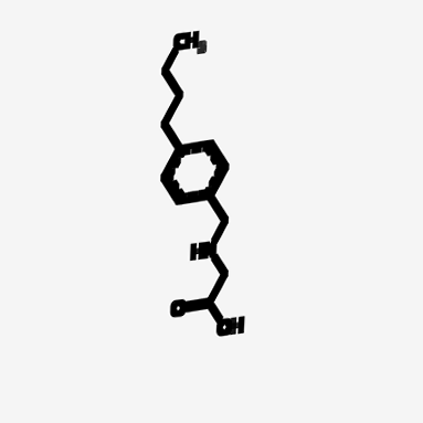 CCCCc1ccc(CNCC(=O)O)cc1